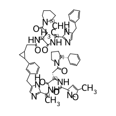 Cc1cc(C(=O)N[C@@H](CC(=O)N2CCC[C@@H]2C2C=CC=CC2)C(=O)N[C@@H](C)c2ncc(Cc3cccc(C4CC4CC(=O)N[C@@H](CC(=O)N4CCCC[C@@H]4C)C(=O)N[C@@H](C)c4ncc(Cc5ccccc5)[nH]4)c3)[nH]2)no1